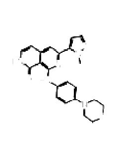 Cn1nccc1-c1cc2cc[nH]c(=O)c2c(Nc2ccc(N3CCOCC3)cc2)n1